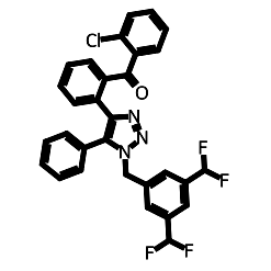 O=C(c1ccccc1Cl)c1ccccc1-c1nnn(Cc2cc(C(F)F)cc(C(F)F)c2)c1-c1ccccc1